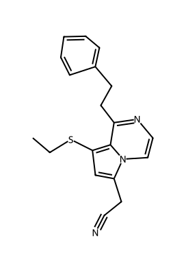 CCSc1cc(CC#N)n2ccnc(CCc3ccccc3)c12